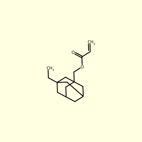 C=CC(=O)OCC12CC3CC(CC(CC)(C3)C1)C2